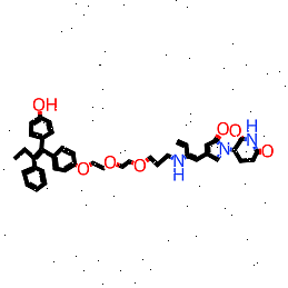 C=C/C(=C\C1=CC(=O)N(C2CCC(=O)NC2=O)C1)NCCCOCCOCCOc1ccc(/C(=C(/CC)c2ccccc2)c2ccc(O)cc2)cc1